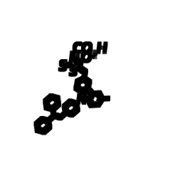 Cc1ccc2c(c1)c1cc(/C=C3\SC(=S)N(CC(=O)O)C3=O)ccc1n2-c1ccc(C=C(c2ccccc2)c2ccccc2)cc1